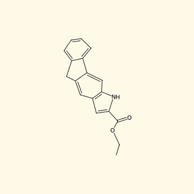 CCOC(=O)c1cc2cc3c(cc2[nH]1)-c1ccccc1C3